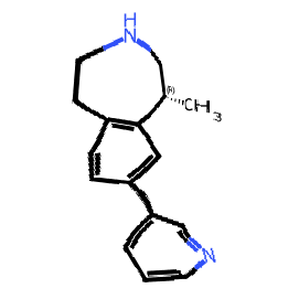 C[C@H]1CNCCc2ccc(-c3cccnc3)cc21